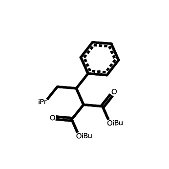 CC(C)COC(=O)C(C(=O)OCC(C)C)C(CC(C)C)c1ccccc1